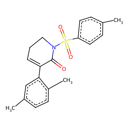 Cc1ccc(S(=O)(=O)N2CCC=C(c3cc(C)ccc3C)C2=O)cc1